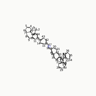 CC1(C)c2cccc3ccc4cc(-c5ccc(/C=C/c6ccc7cc(N(c8ccccn8)c8ccccn8)ccc7c6)cc5)cc1c4c23